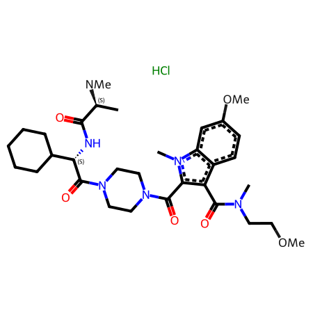 CN[C@@H](C)C(=O)N[C@H](C(=O)N1CCN(C(=O)c2c(C(=O)N(C)CCOC)c3ccc(OC)cc3n2C)CC1)C1CCCCC1.Cl